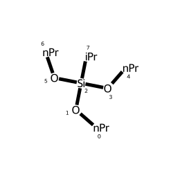 CCCO[Si](OCCC)(OCCC)C(C)C